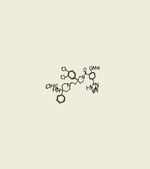 COc1ccc(-c2nnn[nH]2)cc1C(=O)N1CCC(CCN2CCC(NC=O)(c3ccccc3)CC2)(c2ccc(Cl)c(Cl)c2)C1